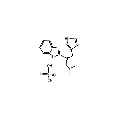 CC(C)CN(Cc1c[nH]nn1)c1cc2ccccc2[nH]1.O=S(=O)(O)O